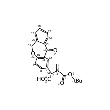 CC(C)(C)OC(=O)N[C@H](C(=O)O)c1ccc2c(c1)C(=O)c1ccccc1CO2